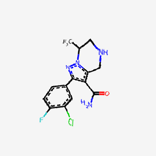 NC(=O)c1c(-c2ccc(F)c(Cl)c2)nn2c1CNCC2C(F)(F)F